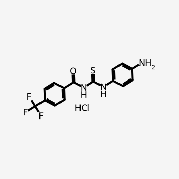 Cl.Nc1ccc(NC(=S)NC(=O)c2ccc(C(F)(F)F)cc2)cc1